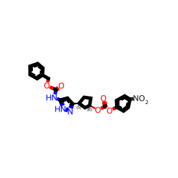 O=C(Nc1cc([C@H]2CC[C@@H](OC(=O)Oc3ccc([N+](=O)[O-])cc3)C2)n[nH]1)OCc1ccccc1